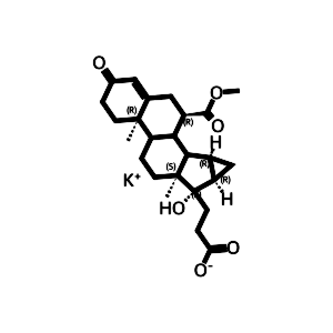 COC(=O)[C@@H]1CC2=CC(=O)CC[C@]2(C)C2CC[C@@]3(C)C(C21)[C@H]1C[C@H]1[C@@]3(O)CCC(=O)[O-].[K+]